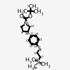 CC(C)(C)OC(=O)N1CC[C@@H](c2ccc(SCC[Si](C)(C)C)cc2)C1